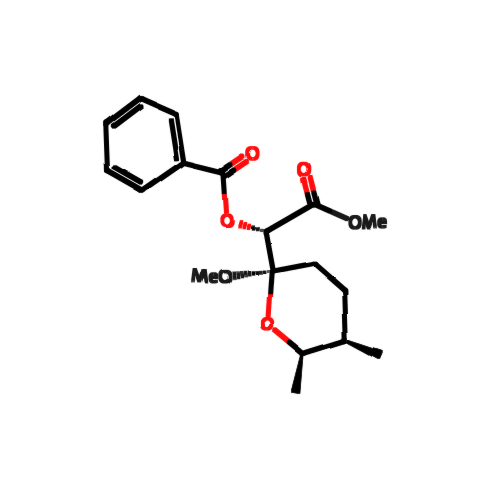 COC(=O)[C@@H](OC(=O)c1ccccc1)[C@@]1(OC)CC[C@@H](C)[C@@H](C)O1